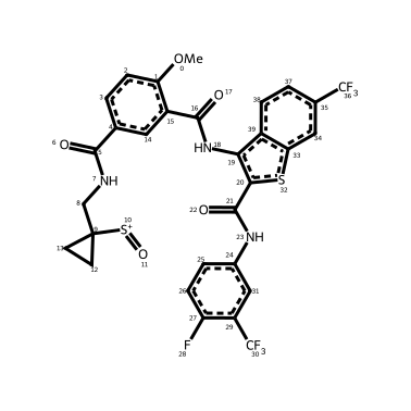 COc1ccc(C(=O)NCC2([S+]=O)CC2)cc1C(=O)Nc1c(C(=O)Nc2ccc(F)c(C(F)(F)F)c2)sc2cc(C(F)(F)F)ccc12